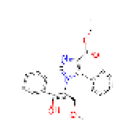 CCOC(=O)c1ncn([C@@H](COC)[C@@H](O)c2ccccc2)c1-c1ccccc1